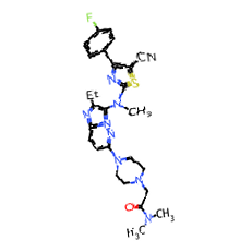 CCc1nc2ccc(N3CCN(CC(=O)N(C)C)CC3)nn2c1N(C)c1nc(-c2ccc(F)cc2)c(C#N)s1